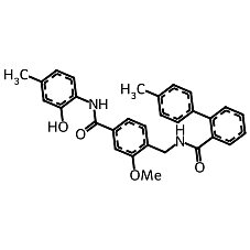 COc1cc(C(=O)Nc2ccc(C)cc2O)ccc1CNC(=O)c1ccccc1-c1ccc(C)cc1